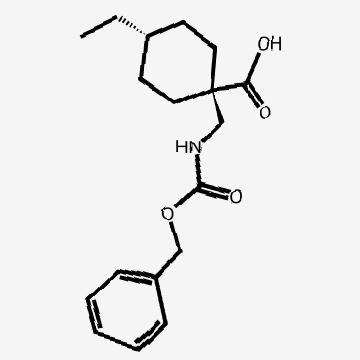 CC[C@H]1CC[C@@](CNC(=O)OCc2ccccc2)(C(=O)O)CC1